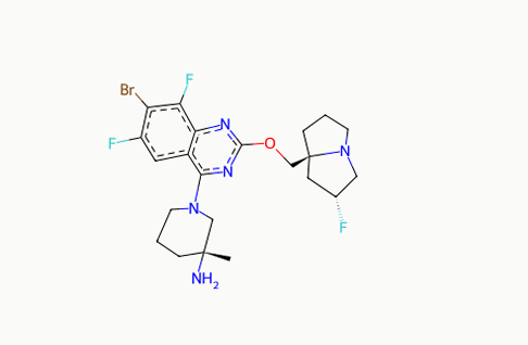 C[C@@]1(N)CCCN(c2nc(OC[C@@]34CCCN3C[C@H](F)C4)nc3c(F)c(Br)c(F)cc23)C1